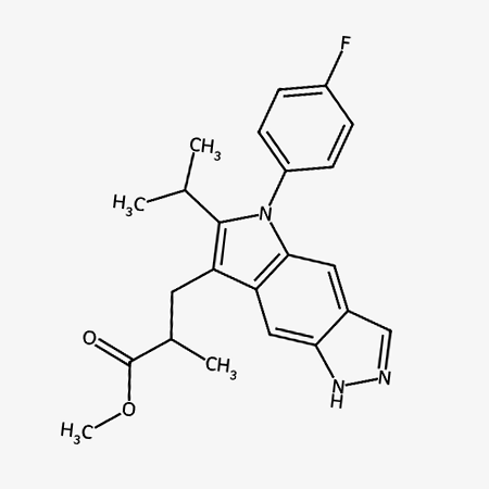 COC(=O)C(C)Cc1c(C(C)C)n(-c2ccc(F)cc2)c2cc3cn[nH]c3cc12